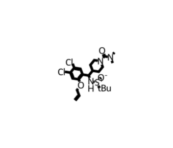 C=CCOc1cc(Cl)c(Cl)cc1C(N[S+]([O-])C(C)(C)C)C1CCN(C(=O)N(C)C)CC1